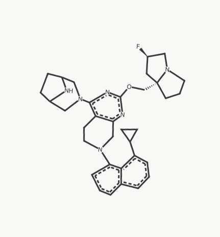 F[C@H]1CN2CCC[C@@]2(COc2nc3c(c(N4CC5CCC(C4)N5)n2)CCN(c2cccc4cccc(C5CC5)c24)C3)C1